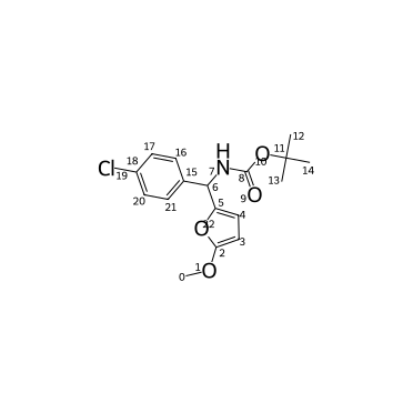 COc1ccc(C(NC(=O)OC(C)(C)C)c2ccc(Cl)cc2)o1